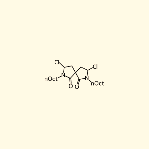 CCCCCCCCN1C(=O)C2(CC1Cl)CC(Cl)N(CCCCCCCC)C2=O